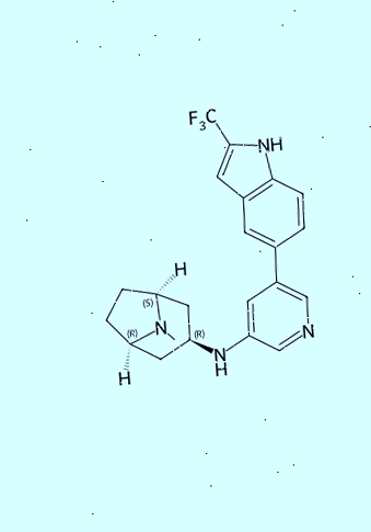 CN1[C@@H]2CC[C@H]1C[C@@H](Nc1cncc(-c3ccc4[nH]c(C(F)(F)F)cc4c3)c1)C2